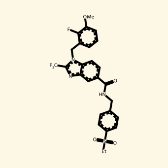 CCS(=O)(=O)c1ccc(CNC(=O)c2ccc3c(c2)nc(C(F)(F)F)n3Cc2cccc(OC)c2F)cc1